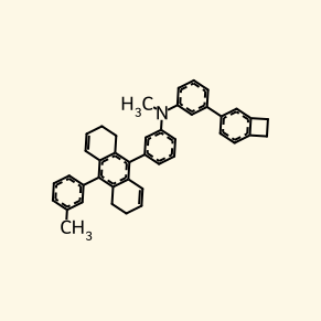 Cc1cccc(-c2c3c(c(-c4cccc(N(C)c5cccc(-c6ccc7c(c6)CC7)c5)c4)c4c2CCC=C4)CCC=C3)c1